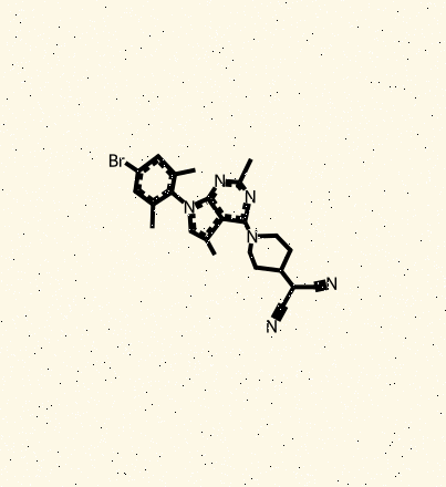 Cc1nc(N2CCC(C(C#N)C#N)CC2)c2c(C)cn(-c3c(C)cc(Br)cc3C)c2n1